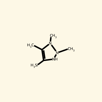 CC1=C([SiH3])NN(C)N1C